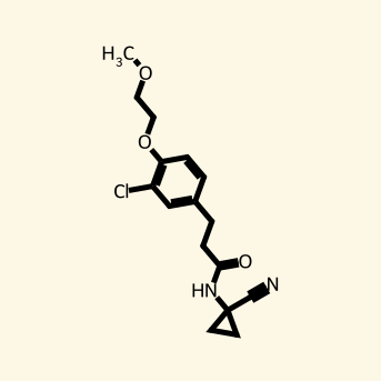 COCCOc1ccc(CCC(=O)NC2(C#N)CC2)cc1Cl